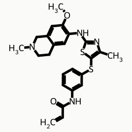 C=CC(=O)Nc1cccc(Sc2sc(Nc3cc4c(cc3OC)CN(C)CC4)nc2C)c1